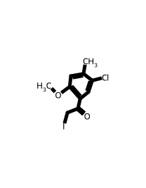 COc1cc(C)c(Cl)cc1C(=O)CI